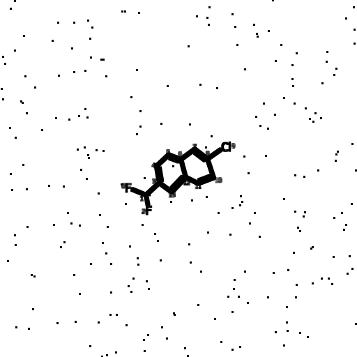 F[C](F)c1ccc2cc(Cl)ccc2c1